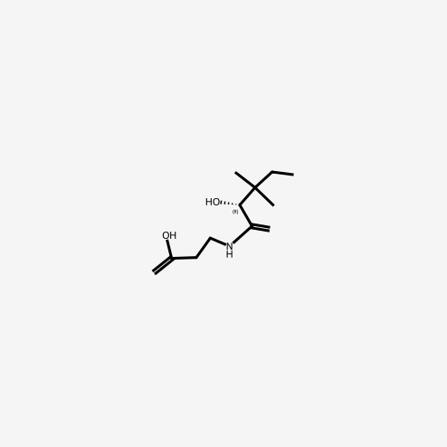 C=C(O)CCNC(=C)[C@H](O)C(C)(C)CC